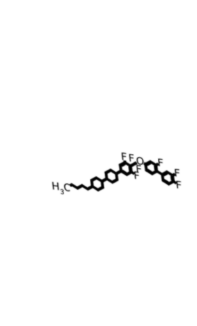 CCCCCC1CCC(C2CCC(c3cc(F)c(C(F)(F)Oc4ccc(-c5ccc(F)c(F)c5)c(F)c4)c(F)c3)CC2)CC1